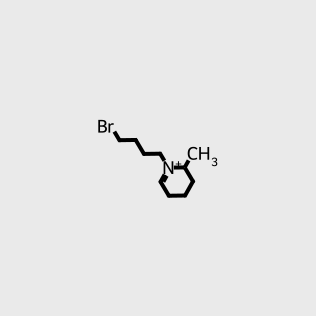 CC1CCCC=[N+]1CCCCBr